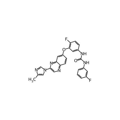 Cc1cn(-c2cnc3ccc(Oc4cc(NC(=O)Nc5cccc(F)c5)ccc4F)cc3n2)cn1